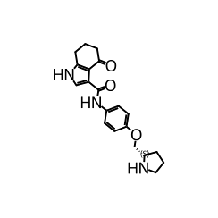 O=C(Nc1ccc(OC[C@@H]2CCCN2)cc1)c1c[nH]c2c1C(=O)CCC2